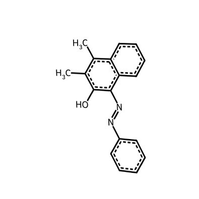 Cc1c(O)c(N=Nc2ccccc2)c2ccccc2c1C